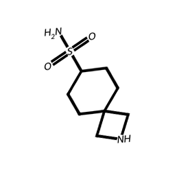 NS(=O)(=O)C1CCC2(CC1)CNC2